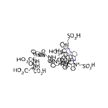 CC1(C)C(/C=C/C2=C(Oc3ccc(S(=O)(=O)O)cc3)C(=C/C=C3/N(CCCS(=O)(=O)O)c4ccccc4C3(C)CCCC(=O)N[C@@H](Cc3ccccc3)C(=O)N[C@@H](Cc3ccccc3)C(=O)NCC(=O)NCCNC(=O)[C@H](Cc3ccccc3)NC(=O)CC[C@H](NC(=O)N[C@@H](CCC(=O)O)C(=O)O)C(=O)O)/CCC2)=[N+](CCCS(=O)(=O)O)c2ccccc21